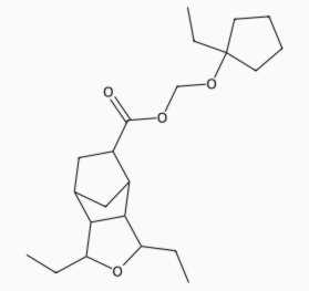 CCC1OC(CC)C2C3CC(CC3C(=O)OCOC3(CC)CCCC3)C12